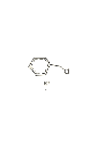 ClCc1ccccc1.[I-].[K+]